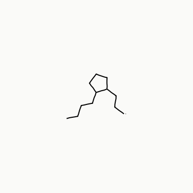 [CH2]CCC1CCCC1CCCC